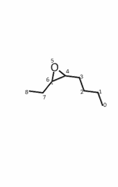 CCCCC1O[C]1CC